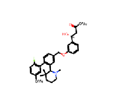 COC(=O)C[C@@H](O)c1cccc(OCc2ccc(-c3cc(OC)ccc3F)c(C3N(C)CCCC3(C)C)c2)c1